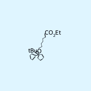 CCOC(=O)C=CCCCCCO[Si](c1ccccc1)(c1ccccc1)C(C)(C)C